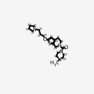 CN1CCN(C(=O)N2CCc3cc(OCCCN4CCCC4)sc3C2)CC1